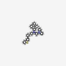 c1ccc(C2(c3ccccc3)c3ccccc3-c3cc(N(c4ccc(-c5cccc(-c6ccc7sc8ccccc8c7c6)c5)cc4)c4cccc(-n5c6ccccc6c6ccccc65)c4)ccc32)cc1